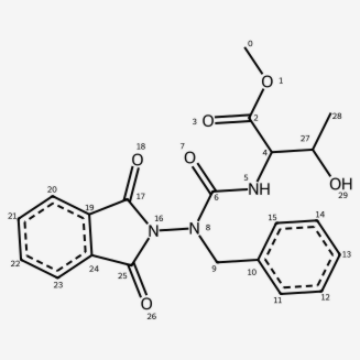 COC(=O)C(NC(=O)N(Cc1ccccc1)N1C(=O)c2ccccc2C1=O)C(C)O